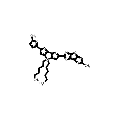 CCCCCC[Si]1(CCCCCC)c2cc(-c3ccc(C)s3)sc2-c2sc(-c3nc4oc5nc(C)sc5c4s3)cc21